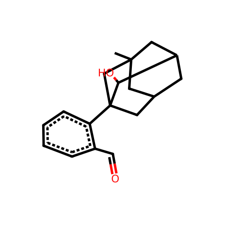 CC12CC3CC(C1)C(O)C(c1ccccc1C=O)(C3)C2